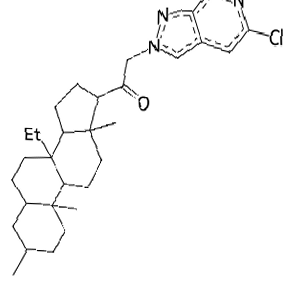 CCC12CCC3CC(C)CCC3(C)C1CCC1(C)C(C(=O)Cn3cc4cc(Cl)ncc4n3)CCC12